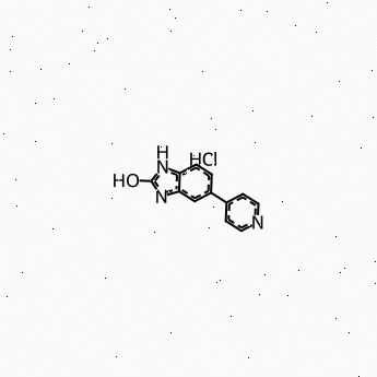 Cl.Oc1nc2cc(-c3ccncc3)ccc2[nH]1